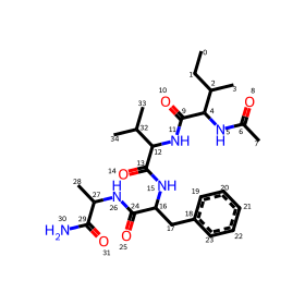 CCC(C)C(NC(C)=O)C(=O)NC(C(=O)NC(Cc1ccccc1)C(=O)NC(C)C(N)=O)C(C)C